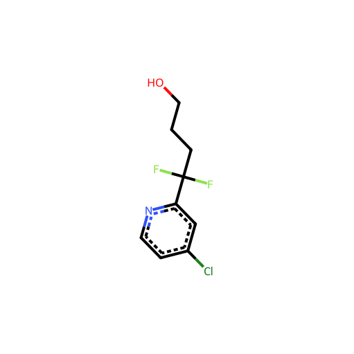 OCCCC(F)(F)c1cc(Cl)ccn1